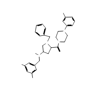 Cc1cccc(N2CCN(C(=O)C3CC(N(C)Cc4cc(C(F)(F)F)cc(C(F)(F)F)c4)CN3Cc3ccccc3)CC2)c1